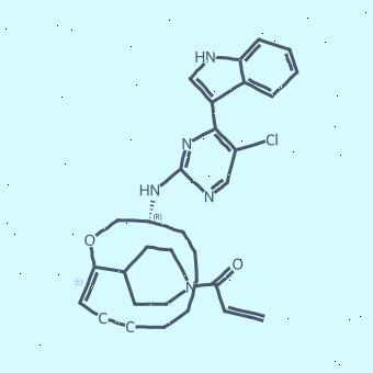 C=CC(=O)N1CCC(/C2=C\CCCCCCC[C@@H](Nc3ncc(Cl)c(-c4c[nH]c5ccccc45)n3)CO2)CC1